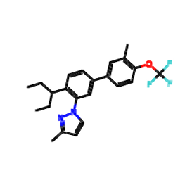 CCC(CC)c1ccc(-c2ccc(OC(F)(F)F)c(C)c2)cc1-n1ccc(C)n1